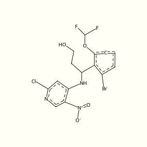 O=[N+]([O-])c1cnc(Cl)cc1NC(CCO)c1c(Br)cccc1OC(F)F